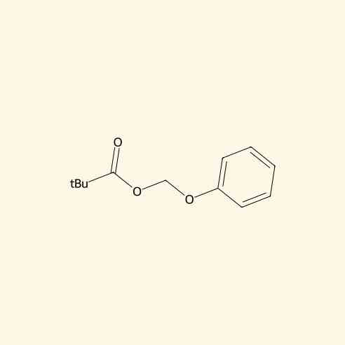 CC(C)(C)C(=O)OCOc1ccccc1